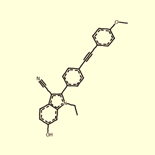 CCn1c(-c2ccc(C#Cc3ccc(OC)cc3)cc2)c(C#N)c2ccc(O)cc21